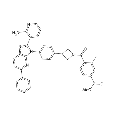 COC(=O)c1ccc(C(=O)N2CC(c3ccc(-n4c(-c5cccnc5N)nc5ccc(-c6ccccc6)nc54)cc3)C2)c(C)c1